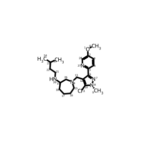 COc1ccc(-c2nn(C)c(Cl)c2CN2CCCCC(NCCC(C)C)C2)nc1